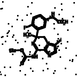 CC(C)(C)OC(=O)NC1=NC(C)(c2cc(NC(=O)O)ccc2F)Cn2c(I)cnc21